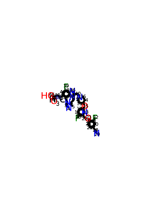 CCn1cncc1Cn1c(CN2CCC(Oc3ccc(F)c(COc4ccc(C#N)cc4F)n3)CC2)nc2c(F)cc(/C=C/C(=O)O)cc21